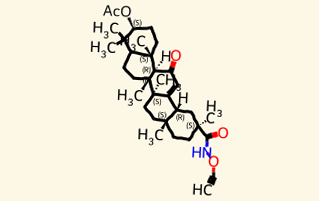 C#CONC(=O)[C@@]1(C)CC[C@]2(C)CC[C@]3(C)C(=CC(=O)[C@@H]4[C@@]5(C)CC[C@H](OC(C)=O)C(C)(C)C5CC[C@]43C)[C@@H]2C1